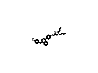 CCCCN(CCCC)CC(O)COc1ccc(C2CCC(Cc3ccc(OC)cc3)c3ccccc32)cc1